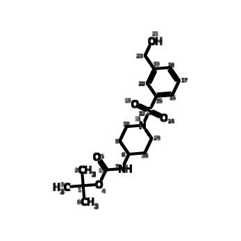 CC(C)(C)OC(=O)NC1CCN(S(=O)(=O)c2cccc(CO)c2)CC1